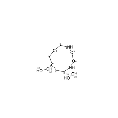 C1CCCNOONCC1.OO.OO